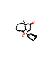 O=C1CC[C@@]2(Cc3ccccc3)C(=O)CCCC[C@H]2C1